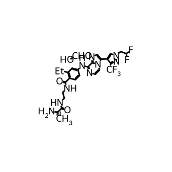 CCc1cc(Nc2nccn3c(-c4cn(CC(F)F)nc4C(F)(F)F)cnc23)ccc1C(=O)NCCNC(=O)[C@@H](C)N.O=CO